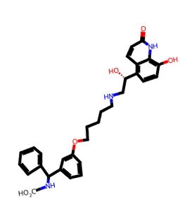 O=C(O)NC(c1ccccc1)c1cccc(OCCCCCNC[C@H](O)c2ccc(O)c3[nH]c(=O)ccc23)c1